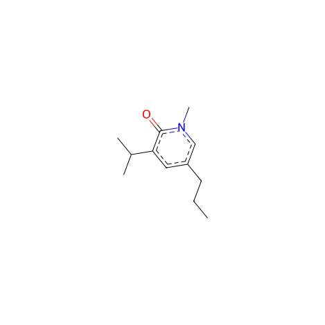 CCCc1cc(C(C)C)c(=O)n(C)c1